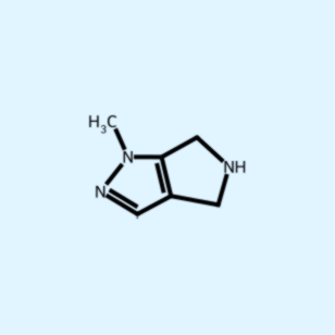 Cn1n[c]c2c1CNC2